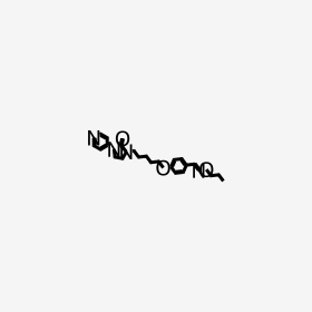 CCCO/N=C/c1ccc(OCCCCCN2CCN(c3ccncc3)C2=O)cc1